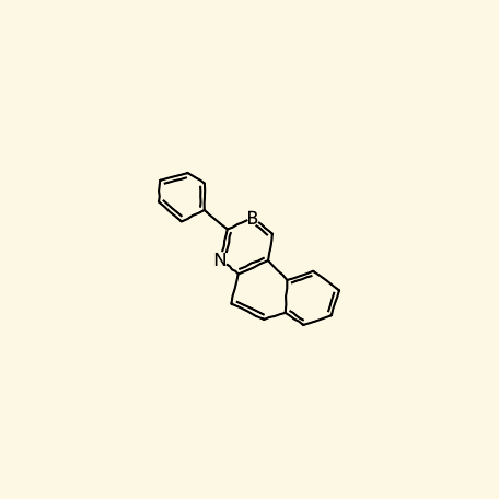 b1cc2c(ccc3ccccc32)nc1-c1ccccc1